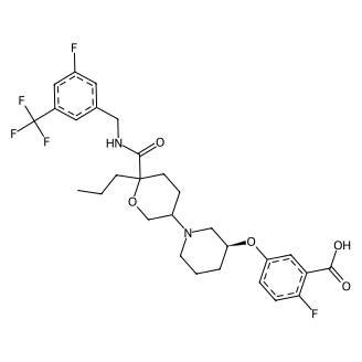 CCCC1(C(=O)NCc2cc(F)cc(C(F)(F)F)c2)CCC(N2CCC[C@H](Oc3ccc(F)c(C(=O)O)c3)C2)CO1